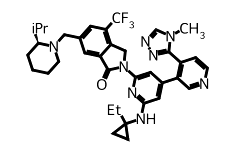 CCC1(Nc2cc(-c3cnccc3-c3nncn3C)cc(N3Cc4c(cc(CN5CCCC[C@H]5C(C)C)cc4C(F)(F)F)C3=O)n2)CC1